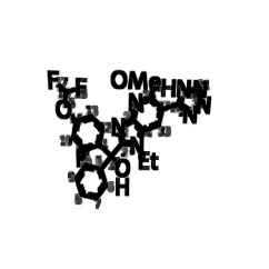 CCn1c(C(O)(c2ccccc2)c2ccc(OC(F)F)cc2F)nc2nc(OC)c(-c3nnn[nH]3)cc21